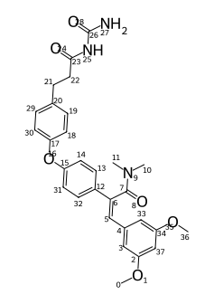 COc1cc(C=C(C(=O)N(C)C)c2ccc(Oc3ccc(CCC(=O)NC(N)=O)cc3)cc2)cc(OC)c1